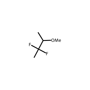 COC(C)C(C)(F)F